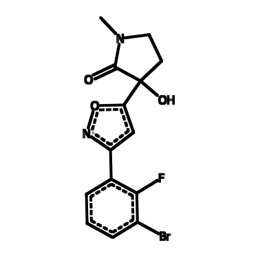 CN1CCC(O)(c2cc(-c3cccc(Br)c3F)no2)C1=O